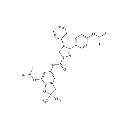 CC1(C)Cc2cc(NC(=O)N3CC(c4ccccc4)C(c4ccc(OC(F)F)cc4)=N3)cc(OC(F)F)c2O1